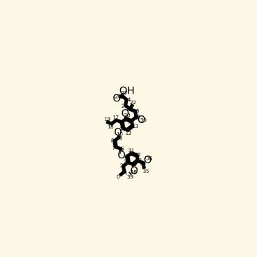 CCCc1c(OC/C=C\COc2ccc3c(c2CCC)OC(C)(CCC(=O)O)CC3=O)ccc(C(C)=O)c1OC